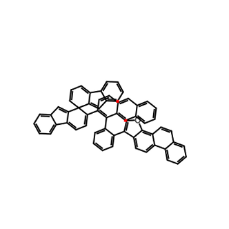 C1=CC2(C3=Cc4ccccc4C3=C1)C1=Cc3ccccc3C1=CC=C2c1ccc2cc3ccccc3cc2c1-c1ccccc1-c1coc2c1ccc1c3ccccc3ccc12